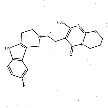 Cc1nc2n(c(=O)c1CCN1CCc3[nH]c4ccc(F)cc4c3C1)CCCS2